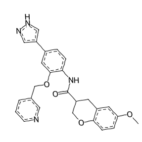 COc1ccc2c(c1)CC(C(=O)Nc1ccc(-c3cn[nH]c3)cc1OCc1cccnc1)CO2